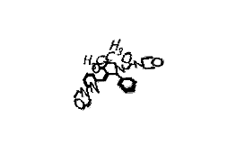 CC1(C)CN(CC(=O)N2CCOCC2)C(c2ccccc2)C(=Cc2cccc(N3CCOCC3)n2)C1=O